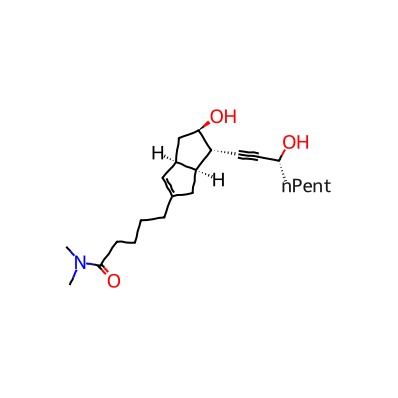 CCCCC[C@@H](O)C#C[C@@H]1[C@H]2CC(CCCCC(=O)N(C)C)=C[C@H]2C[C@H]1O